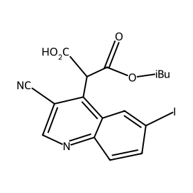 CCC(C)OC(=O)C(C(=O)O)c1c(C#N)cnc2ccc(I)cc12